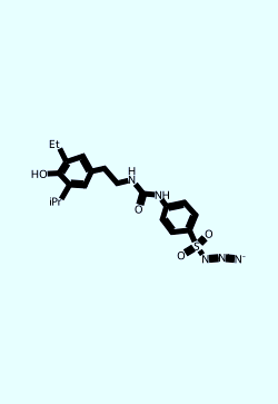 CCc1cc(CCNC(=O)Nc2ccc(S(=O)(=O)N=[N+]=[N-])cc2)cc(C(C)C)c1O